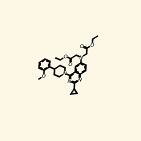 CCOC(=O)CN(CC(=O)OCC)c1ccc2nc(C3CC3)nc(N3CCC(c4ccccc4OC)CC3)c2c1